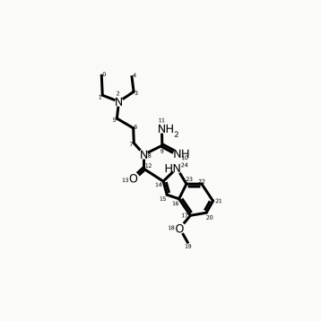 CCN(CC)CCCN(C(=N)N)C(=O)c1cc2c(OC)cccc2[nH]1